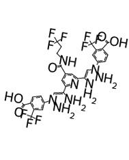 N/C(=C\N(N)c1ccc(C(=O)O)c(C(F)(F)F)c1)c1cc(C(=O)NCCC(F)(F)F)cc(/C(N)=C/N(N)c2ccc(C(=O)O)c(C(F)(F)F)c2)n1